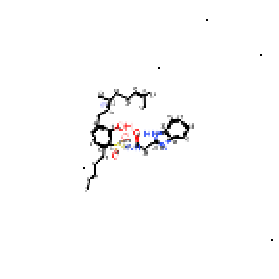 CCCCCc1ccc(C/C=C(\C)CCC=C(C)C)c(O)c1S(=O)(=O)NC(=O)Cc1nc2ccccc2[nH]1